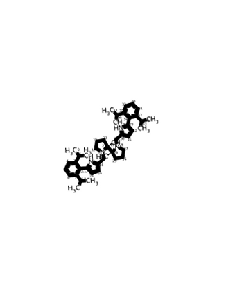 CC(C)c1cccc(C(C)C)c1-c1ccc(CN2CCC[C@@]2(C)[C@]2(C)CCCN2Cc2ccc(-c3c(C(C)C)cccc3C(C)C)[nH]2)[nH]1